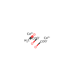 C=O.O=C([O-])[O-].O=C([O-])[O-].[Ca+2].[Ca+2]